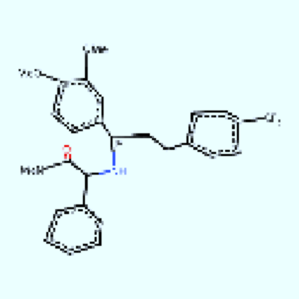 CNC(=O)C(N[C@H](CCc1ccc(C(F)(F)F)cc1)c1ccc(OC)c(OC)c1)c1ccccc1